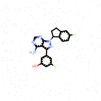 Nc1ncnc2c1c(-c1cc(O)cc(F)c1)nn2C1CCc2cc(F)ccc21